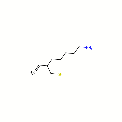 C=CC(CS)CCCCCN